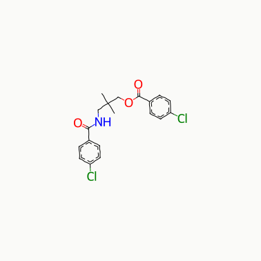 CC(C)(CNC(=O)c1ccc(Cl)cc1)COC(=O)c1ccc(Cl)cc1